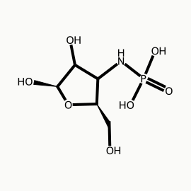 O=P(O)(O)NC1C(O)[C@H](O)O[C@@H]1CO